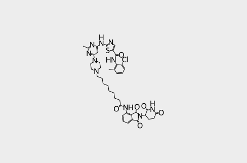 Cc1nc(Nc2ncc(C(=O)Nc3c(C)cccc3Cl)s2)cc(N2CCN(CCCCCCCCC(=O)Nc3cccc4c3C(=O)N(C3CCC(=O)NC3=O)C4=O)CC2)n1